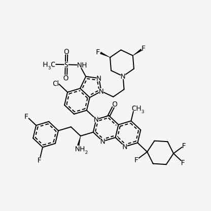 Cc1cc(C2(F)CCC(F)(F)CC2)nc2nc([C@@H](N)Cc3cc(F)cc(F)c3)n(-c3ccc(Cl)c4c(NS(C)(=O)=O)nn(CCN5C[C@H](F)C[C@H](F)C5)c34)c(=O)c12